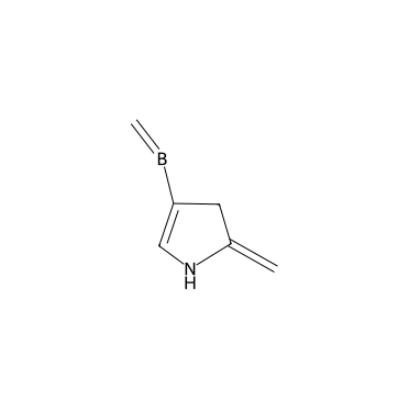 C=BC1=CNC(=C)C1